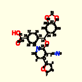 N#Cc1c(-c2ccco2)ccnc1OC(c1ccc(C(=O)O)cc1)c1ccc2c(c1)OCO2